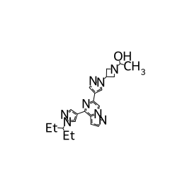 CCC(CC)n1cc(-c2nc(-c3cnn(C4CN(C(C)O)C4)c3)cn3nccc23)cn1